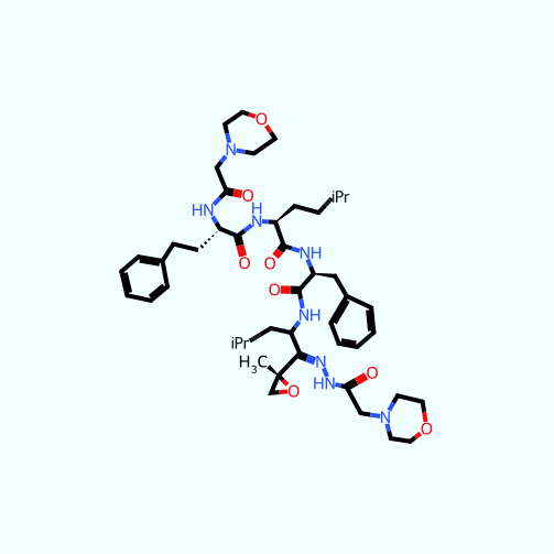 CC(C)CC[C@H](NC(=O)[C@H](CCc1ccccc1)NC(=O)CN1CCOCC1)C(=O)N[C@@H](Cc1ccccc1)C(=O)NC(CC(C)C)/C(=N/NC(=O)CN1CCOCC1)[C@@]1(C)CO1